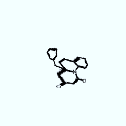 O=C1C=C(Cl)N2c3ccccc3CCC2(Cc2ccccc2)C1